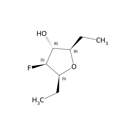 CC[C@@H]1O[C@H](CC)[C@@H](O)[C@@H]1F